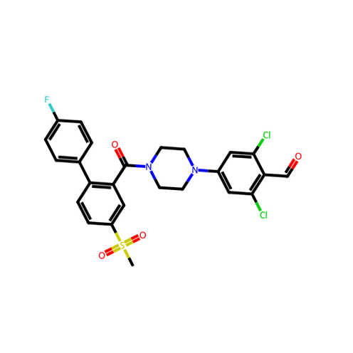 CS(=O)(=O)c1ccc(-c2ccc(F)cc2)c(C(=O)N2CCN(c3cc(Cl)c(C=O)c(Cl)c3)CC2)c1